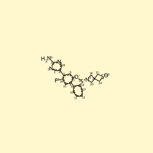 Nc1ncc(-c2ccc(-c3ccccc3[S+]([O-])N3CC4(C3)C[S+]([O-])C4)cc2F)cn1